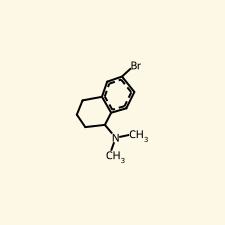 CN(C)C1CCCc2cc(Br)ccc21